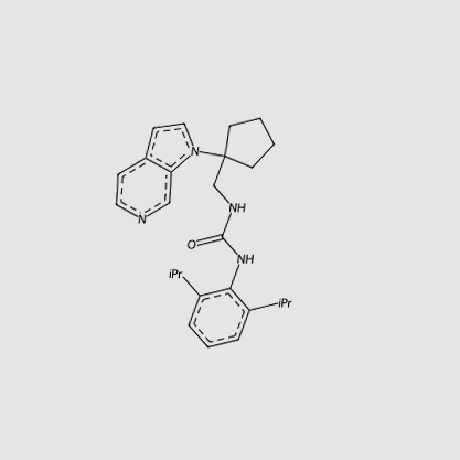 CC(C)c1cccc(C(C)C)c1NC(=O)NCC1(n2ccc3ccncc32)CCCC1